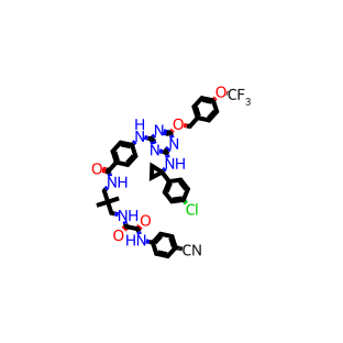 CC(C)(CNC(=O)C(=O)Nc1ccc(C#N)cc1)CNC(=O)c1ccc(Nc2nc(NC3(c4ccc(Cl)cc4)CC3)nc(OCc3ccc(OC(F)(F)F)cc3)n2)cc1